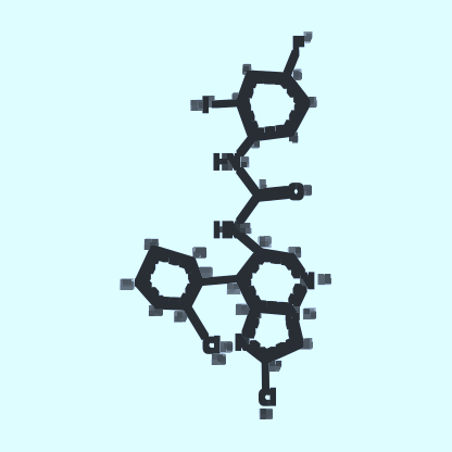 O=C(Nc1ccc(F)cc1F)Nc1cnn2cc(Cl)nc2c1-c1ccccc1Cl